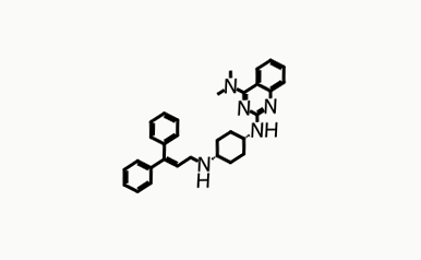 CN(C)c1nc(N[C@H]2CC[C@@H](NCC=C(c3ccccc3)c3ccccc3)CC2)nc2ccccc12